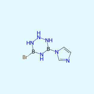 BrB1NNNB(n2ccnc2)N1